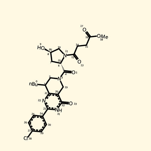 CCCCC1CN(C(=O)[C@@H]2C[C@@H](O)CN2C(=O)CCC(=O)OC)Cc2c1nc(-c1ccc(Cl)cc1)[nH]c2=O